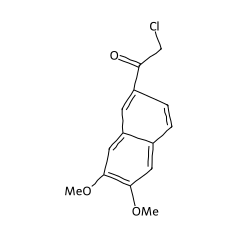 COc1cc2ccc(C(=O)CCl)cc2cc1OC